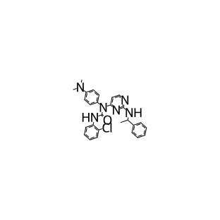 CC(Nc1nccc(N(C(=O)Nc2ccccc2Cl)c2ccc(N(C)C)cc2)n1)c1ccccc1